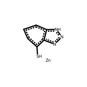 Sc1cccc2[nH]nnc12.[Zn]